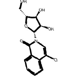 O=c1c2ccccc2c(Cl)cn1[C@@H]1O[C@H](CO)[C@@H](O)[C@H]1O